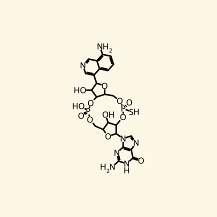 Nc1nc2c(ncn2C2OC3COP(=O)(O)OC4C(COP(=O)(S)OC2C3O)OC(c2cncc3c(N)cccc23)C4O)c(=O)[nH]1